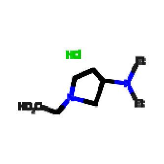 CCN(CC)C1CCN(CC(=O)O)C1.Cl